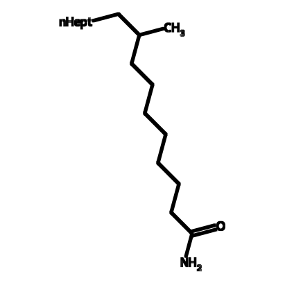 CCCCCCCCC(C)CCCCCCCC(N)=O